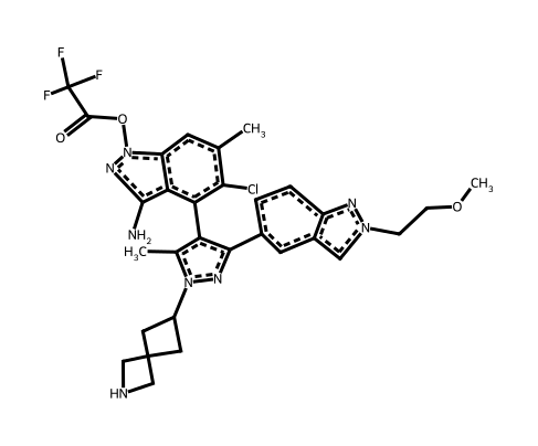 COCCn1cc2cc(-c3nn(C4CC5(CNC5)C4)c(C)c3-c3c(Cl)c(C)cc4c3c(N)nn4OC(=O)C(F)(F)F)ccc2n1